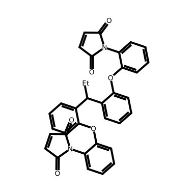 CCC(c1ccccc1Oc1ccccc1N1C(=O)C=CC1=O)c1ccccc1Oc1ccccc1N1C(=O)C=CC1=O